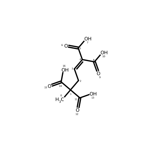 CC(CC=C(C(=O)O)C(=O)O)(C(=O)O)C(=O)O